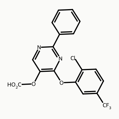 O=C(O)Oc1cnc(-c2ccccc2)nc1Oc1cc(C(F)(F)F)ccc1Cl